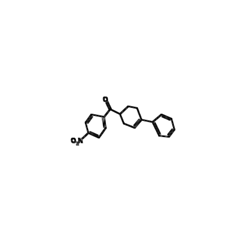 O=C(c1ccc([N+](=O)[O-])cc1)C1CC=C(c2ccccc2)CC1